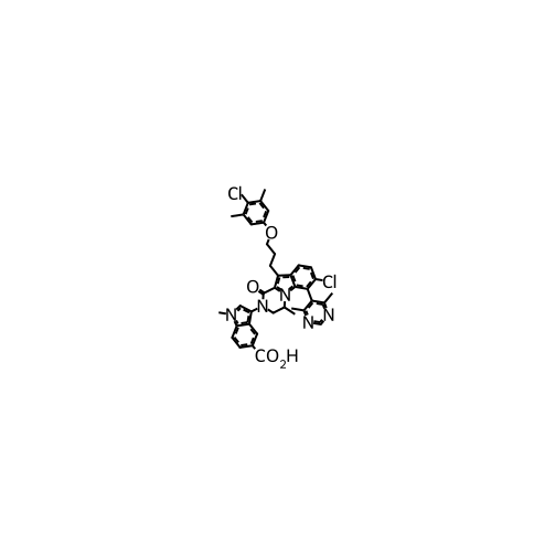 Cc1cc(OCCCc2c3n(c4c(-c5c(C)ncnc5C)c(Cl)ccc24)C(C)CN(c2cn(C)c4ccc(C(=O)O)cc24)C3=O)cc(C)c1Cl